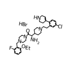 Br.CCOc1cccc(F)c1CN1CCN(C(=O)[C@H](N)C2CCN(CCc3cc(Cl)ccc3C3=CCNCC3)CC2)CC1